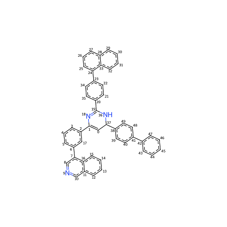 C1=C(c2cccc(-c3cncc4ccccc34)c2)N=C(c2ccc(-c3cccc4ccccc34)cc2)NC1c1ccc(-c2ccccc2)cc1